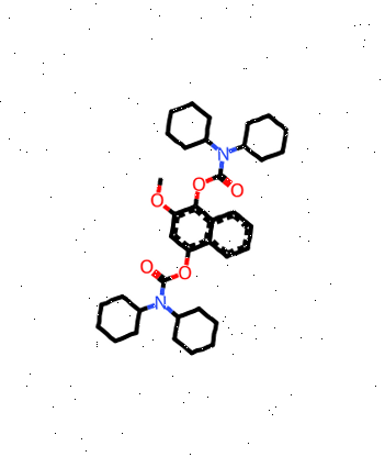 COc1cc(OC(=O)N(C2CCCCC2)C2CCCCC2)c2ccccc2c1OC(=O)N(C1CCCCC1)C1CCCCC1